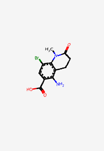 CN1C(=O)CCc2c(N)c(C(=O)O)cc(Br)c21